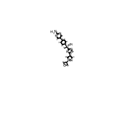 CCC[C@](C)(c1ccc(-c2cnc(N)nc2)cc1)c1noc(-c2cnn(C3COC3)c2)n1